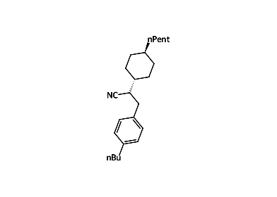 CCCCC[C@H]1CC[C@H](C(C#N)Cc2ccc(CCCC)cc2)CC1